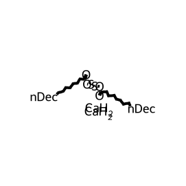 CCCCCCCCCCCCCCCCCC(=O)OSSOC(=O)CCCCCCCCCCCCCCCCC.[CaH2].[CaH2]